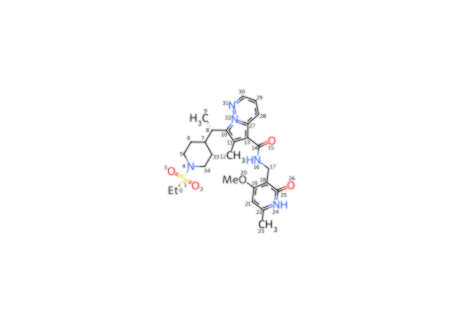 CCS(=O)(=O)N1CCC([C@H](C)c2c(C)c(C(=O)NCc3c(OC)cc(C)[nH]c3=O)c3cccnn23)CC1